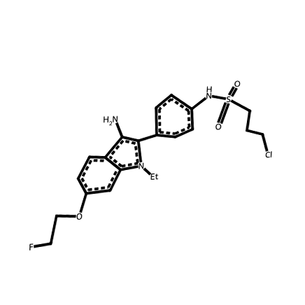 CCn1c(-c2ccc(NS(=O)(=O)CCCCl)cc2)c(N)c2ccc(OCCF)cc21